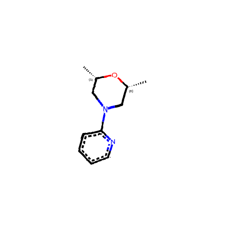 C[C@@H]1CN(c2ccc[c]n2)C[C@H](C)O1